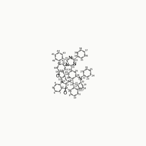 O=P1(c2ccccc2)c2ccccc2C2(c3ccccc3N(c3ccccc3)c3cc(-c4nc(-c5ccccc5)nc(-c5ccccc5)n4)ccc32)c2cc3c(cc21)oc1ccccc13